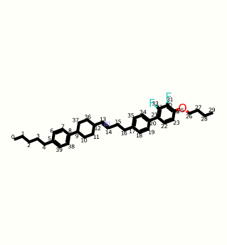 CCCCCc1ccc(C2CCC(/C=C/CCc3ccc(-c4ccc(OCCCC)c(F)c4F)cc3)CC2)cc1